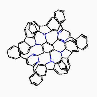 c1ccc(-c2cc(-c3ccccc3)nc(-c3c(-n4c5ccccc5c5ccccc54)c(-n4c5ccccc5c5ccccc54)c(-c4nc(-c5ccccc5)cc(-c5ccccc5)n4)c(-n4c5ccccc5c5ccccc54)c3-n3c4ccccc4c4ccccc43)n2)cc1